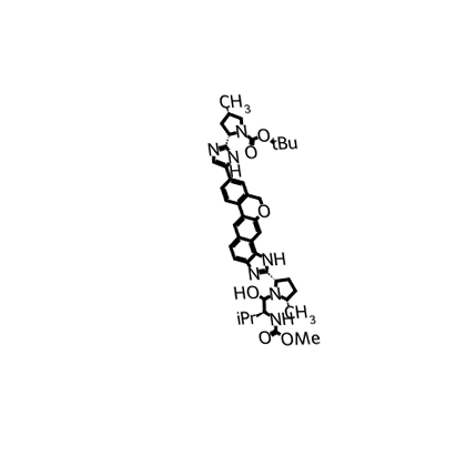 COC(=O)N[C@@H](C(C)C)C(O)N1[C@@H](C)CC[C@H]1c1nc2ccc3cc4c(cc3c2[nH]1)OCc1cc(-c2cnc([C@@H]3C[C@H](C)CN3C(=O)OC(C)(C)C)[nH]2)ccc1-4